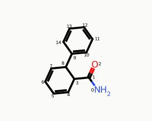 NC(=O)C1C=CC=CC1c1ccccc1